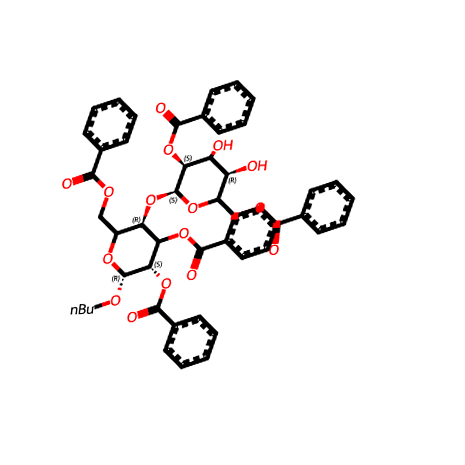 CCCCO[C@@H]1OC(COC(=O)c2ccccc2)[C@@H](O[C@@H]2OC(COC(=O)c3ccccc3)[C@H](O)C(O)[C@@H]2OC(=O)c2ccccc2)C(OC(=O)c2ccccc2)[C@@H]1OC(=O)c1ccccc1